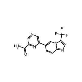 NC(=O)c1cncc(-c2ccc3ncc(C(F)(F)F)n3c2)n1